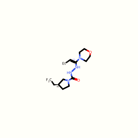 CC/C=C(\NNC(=O)N1CC[C@@H](CC(F)(F)F)C1)N1CCOCC1